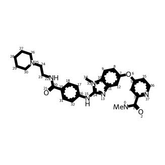 CNC(=O)c1cc(Oc2ccc3c(c2)nc(Nc2ccc(C(=O)NCCN4CCCCC4)cc2)n3C)ccn1